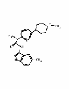 COC1CCN(c2ccc(N(C)C(=O)Nc3c[nH]c4ccc(C)cc34)nc2)CC1